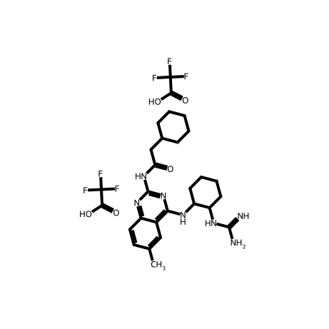 Cc1ccc2nc(NC(=O)CC3CCCCC3)nc(NC3CCCCC3NC(=N)N)c2c1.O=C(O)C(F)(F)F.O=C(O)C(F)(F)F